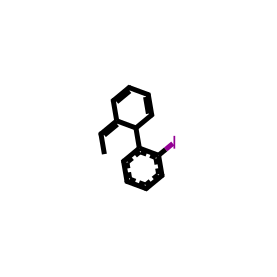 C/C=C1/C=CC=CC1c1ccccc1I